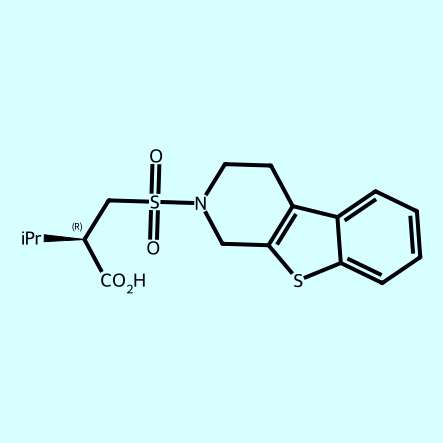 CC(C)[C@@H](CS(=O)(=O)N1CCc2c(sc3ccccc23)C1)C(=O)O